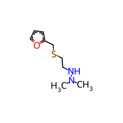 CN(C)NCCSCc1ccco1